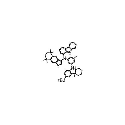 Cc1cc(N(c2csc3cc4c(cc23)C(C)(C)CCC4(C)C)c2cccc3c2sc2ccccc23)cc(N2c3ccc(C(C)(C)C)cc3C3(C)CCCCC23C)c1